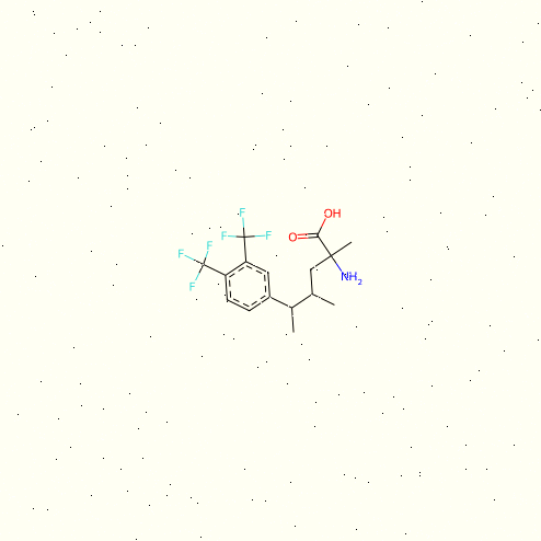 CC(CC(C)(N)C(=O)O)C(C)c1ccc(C(F)(F)F)c(C(F)(F)F)c1